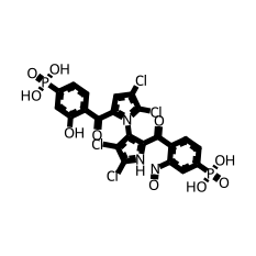 O=Nc1cc(P(=O)(O)O)ccc1C(=O)c1[nH]c(Cl)c(Cl)c1-n1c(C(=O)c2ccc(P(=O)(O)O)cc2O)cc(Cl)c1Cl